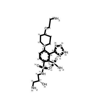 NCCOC1CCN(c2ccc(S(=O)(=O)NC[C@H](O)CN)c(S(N)(=O)=O)c2-c2nn[nH]n2)CC1